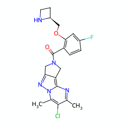 Cc1nc2c3c(nn2c(C)c1Cl)CN(C(=O)c1ccc(F)cc1OC[C@@H]1CCN1)C3